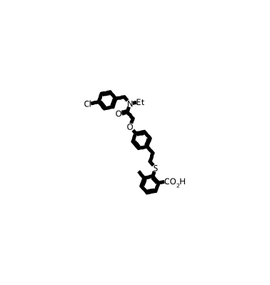 CCN(Cc1ccc(Cl)cc1)C(=O)COc1ccc(CCSc2c(C)cccc2C(=O)O)cc1